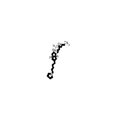 CCCC[C@](C)(O)C/C=C/[C@@H]1[C@H]2CC(CCCCCN3CCCC3)=C[C@H]2C[C@H]1O